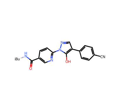 CC[C@@H](C)NC(=O)c1ccc(-n2ncc(-c3ccc(C#N)cc3)c2O)nc1